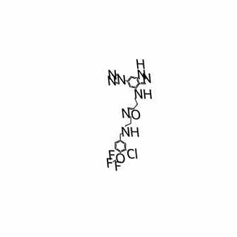 FC(F)(F)Oc1ccc(CNCCc2ncc(CCNc3cc(-n4cnnc4)cc4[nH]ncc34)o2)cc1Cl